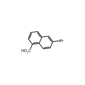 CC(C)c1ccc2c(C(=O)O)cccc2c1